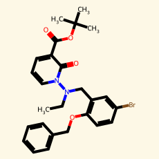 CCN(Cc1cc(Br)ccc1OCc1ccccc1)n1cccc(C(=O)OC(C)(C)C)c1=O